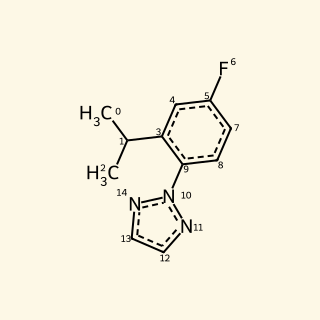 CC(C)c1cc(F)ccc1-n1nccn1